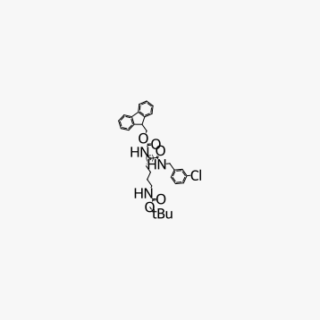 CC(C)(C)OC(=O)NCCCC[C@H](NC(=O)OCC1c2ccccc2-c2ccccc21)C(=O)NCc1cccc(Cl)c1